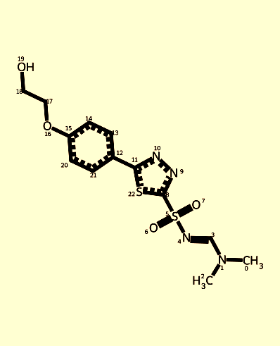 CN(C)C=NS(=O)(=O)c1nnc(-c2ccc(OCCO)cc2)s1